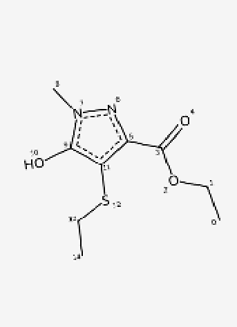 CCOC(=O)c1nn(C)c(O)c1SCC